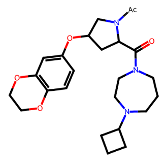 CC(=O)N1CC(Oc2ccc3c(c2)OCCO3)CC1C(=O)N1CCCN(C2CCC2)CC1